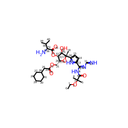 CCOC(C)(C)C(=O)N/C(=N/C=N)c1ccc([C@]2(C)O[C@H](COC(=O)CC3CCCCC3)[C@@H](OC(=O)[C@@H](N)C(C)C)[C@H]2O)[nH]1